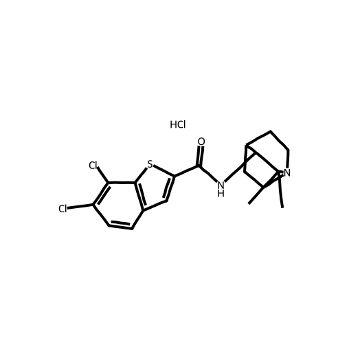 CC1(C)C(NC(=O)c2cc3ccc(Cl)c(Cl)c3s2)C2CCN1CC2.Cl